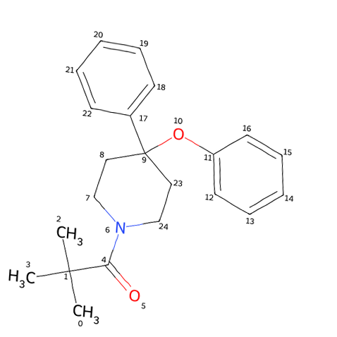 CC(C)(C)C(=O)N1CCC(Oc2ccccc2)(c2ccccc2)CC1